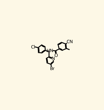 Cc1cc(C(=O)NC(c2ccc(Cl)cc2)c2ccc(Br)cn2)ccc1C#N